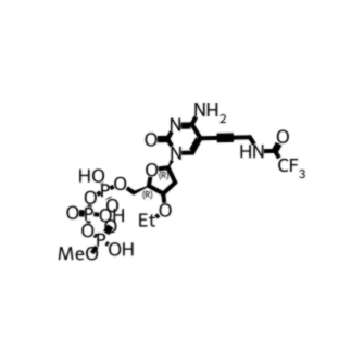 CCOC1C[C@H](n2cc(C#CCNC(=O)C(F)(F)F)c(N)nc2=O)O[C@@H]1COP(=O)(O)OP(=O)(O)OP(=O)(O)OC